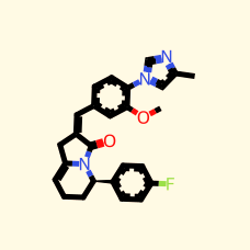 COc1cc(C=C2CC3=CCC[C@H](c4ccc(F)cc4)N3C2=O)ccc1-n1cnc(C)c1